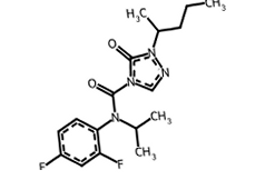 CCCC(C)n1ncn(C(=O)N(c2ccc(F)cc2F)C(C)C)c1=O